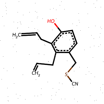 C=CCc1c(O)ccc(CSC#N)c1CC=C